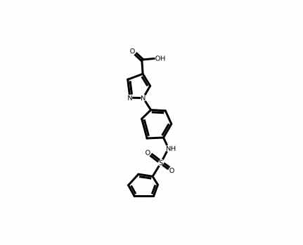 O=C(O)c1cnn(-c2ccc(NS(=O)(=O)c3ccccc3)cc2)c1